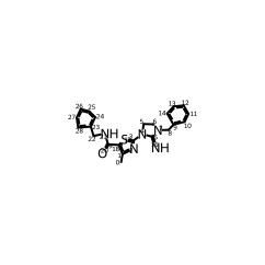 Cc1nc(N2CCN(Cc3ccccc3)C2=N)sc1C(=O)NCc1ccccc1